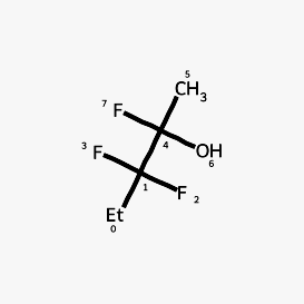 CCC(F)(F)C(C)(O)F